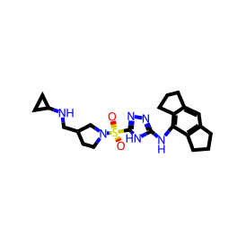 O=S(=O)(c1nnc(Nc2c3c(cc4c2CCC4)CCC3)[nH]1)N1CCC(CNC2CC2)C1